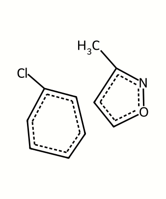 Cc1ccon1.Clc1ccccc1